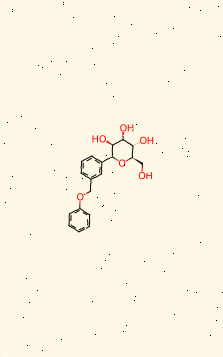 OC[C@H]1OC(c2cccc(COc3ccccc3)c2)[C@@H](O)[C@@H](O)[C@@H]1O